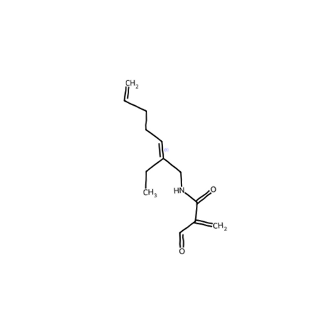 C=CCC/C=C(\CC)CNC(=O)C(=C)C=O